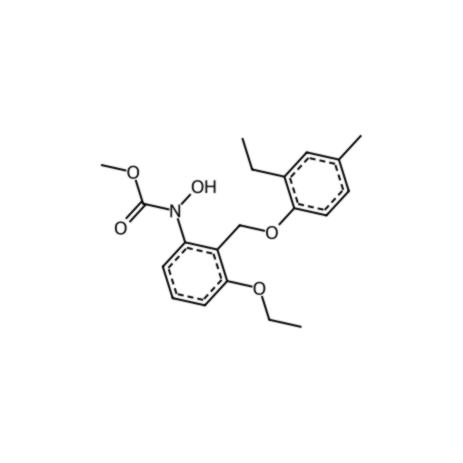 CCOc1cccc(N(O)C(=O)OC)c1COc1ccc(C)cc1CC